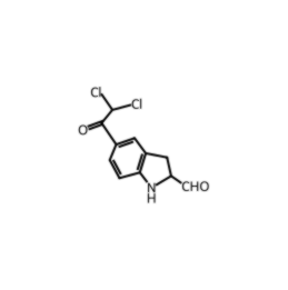 O=CC1Cc2cc(C(=O)C(Cl)Cl)ccc2N1